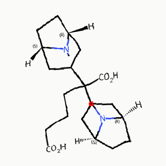 CN1[C@@H]2CC[C@H]1CC(C(CCCC(=O)O)(C(=O)O)C1C[C@H]3CC[C@@H](C1)N3C)C2